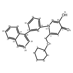 O=c1cc(COC2CCCCC2)n(-c2cccc(-c3cncc4ccccc34)c2)cc1O